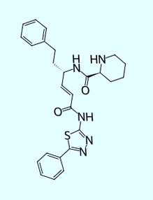 O=C(C=C[C@H](CCc1ccccc1)NC(=O)[C@@H]1CCCCN1)Nc1nnc(-c2ccccc2)s1